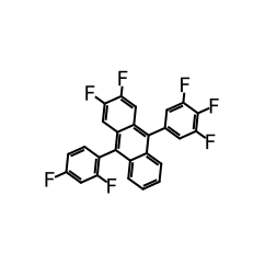 Fc1ccc(-c2c3ccccc3c(-c3cc(F)c(F)c(F)c3)c3cc(F)c(F)cc23)c(F)c1